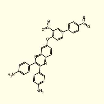 Nc1ccc(-c2nc3ccc(Oc4ccc(-c5ccc([SH](=O)=O)cc5)cc4[SH](=O)=O)cc3nc2-c2ccc(N)cc2)cc1